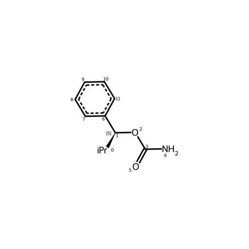 CC(C)[C@H](OC(N)=O)c1ccccc1